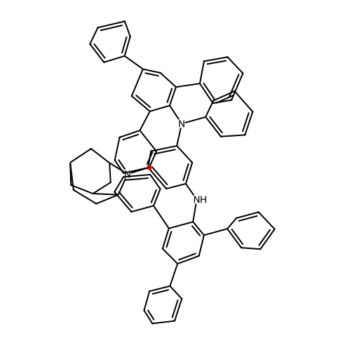 c1ccc(-c2cc(-c3ccccc3)c(Nc3cc(N(c4ccccc4)c4c(-c5ccccc5)cc(-c5ccccc5)cc4-c4ccccc4)cc(N4C5CC6CCC4C(C6)C5)c3)c(-c3ccccc3)c2)cc1